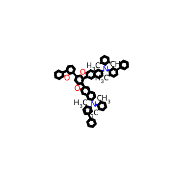 Cc1ccc(-c2ccccc2)cc1N(c1ccc2cc3c(cc2c1)oc1cc(-c2cccc4c2oc2ccccc24)c2oc4cc5cc(N(c6cc(-c7ccccc7)ccc6C)c6c(C)cccc6C)ccc5cc4c2c13)c1c(C)cccc1C